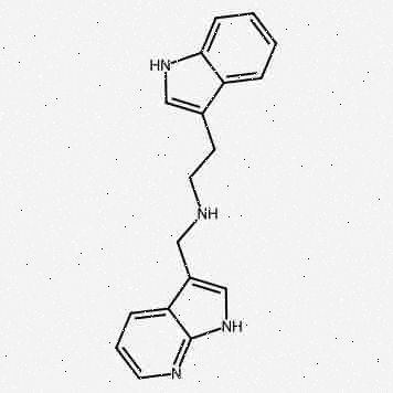 c1ccc2c(CCNCc3c[nH]c4ncccc34)c[nH]c2c1